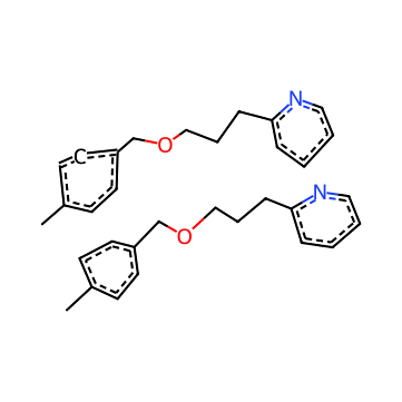 Cc1ccc(COCCCc2ccccn2)cc1.Cc1ccc(COCCCc2ccccn2)cc1